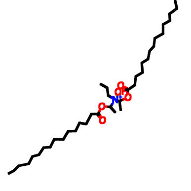 CCCCCCCCCCCCCCCC(=O)OC(C)[N+](O)(CCC)C(C)OC(=O)CCCCCCCCCCCCCCC